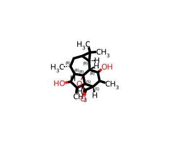 CC1C(O)[C@H]2[C@H]3C(C[C@@H](C)[C@@H]4C(O)C(C)[C@H]5[C@H]1C(=O)O[C@]425)C3(C)C